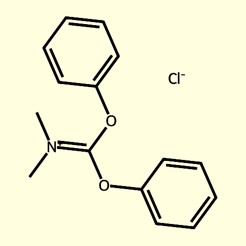 C[N+](C)=C(Oc1ccccc1)Oc1ccccc1.[Cl-]